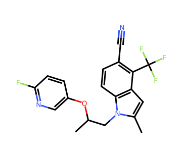 Cc1cc2c(C(F)(F)F)c(C#N)ccc2n1CC(C)Oc1ccc(F)nc1